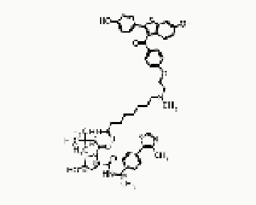 Cc1ncsc1-c1ccc([C@H](C)NC(=O)[C@@H]2C[C@@H](O)CN2C(=O)[C@@H](NC(=O)CCCCCCCN(C)CCOc2ccc(C(=O)c3c(-c4ccc(O)cc4)sc4cc(O)ccc34)cc2)C(C)(C)C)cc1